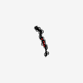 C=COC(=O)CCCCCOc1ccc(C(=O)Oc2ccc(-c3ccc(OCCCOC(=O)C(=C)CC(=O)OC4CCCCC4)cc3)cc2)cc1